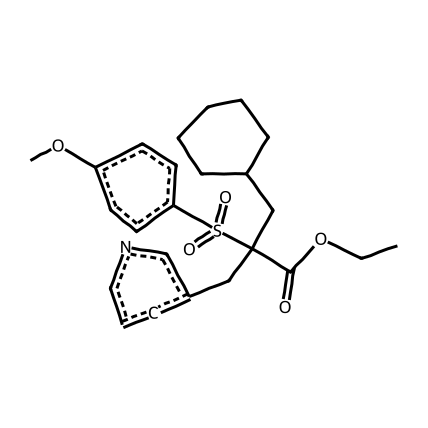 CCOC(=O)C(Cc1cccnc1)(CC1CCCCC1)S(=O)(=O)c1ccc(OC)cc1